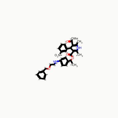 COC(=O)C1=C(C)NC(C)=C(C(=O)OC(C)c2ccc(NCCOCc3ccccc3)cc2)C1c1cccc([N+](=O)[O-])c1